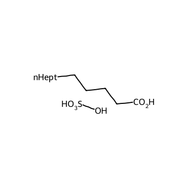 CCCCCCCCCCCC(=O)O.O=S(=O)(O)O